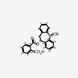 N#CN1c2ccccc2C[C@@H](OC(=O)c2ccccc2C(=O)O)c2ccccc21